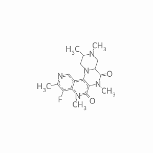 Cc1ncc2c3c(c(=O)n(C)c2c1F)N(C)C(=O)C1CN(C)C(C)CN31